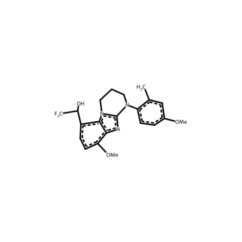 COc1ccc(N2CCCn3c2nc2c(OC)ccc(C(O)C(F)(F)F)c23)c(C)c1